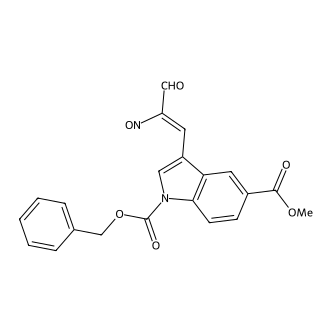 COC(=O)c1ccc2c(c1)c(/C=C(/C=O)N=O)cn2C(=O)OCc1ccccc1